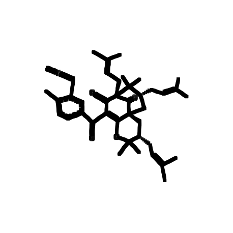 C=C=Cc1cc(C(=O)C2=C3OC(C)(C)[C@@H](CC=C(C)C)C[C@@]34C[C@@H](CC=C(C)C)C(C)(C)[C@@](CC=C(C)C)(C2=O)C4=O)ccc1C